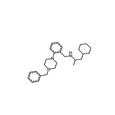 CC(CC1CCCCC1)NCc1ccccc1N1CCN(Cc2ccccc2)CC1